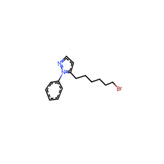 BrCCCCCCc1ccnn1-c1ccccc1